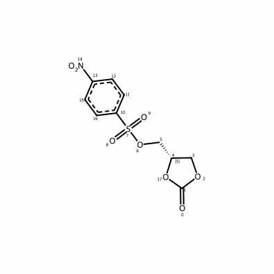 O=C1OC[C@@H](COS(=O)(=O)c2ccc([N+](=O)[O-])cc2)O1